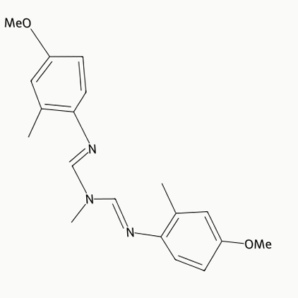 COc1ccc(N=CN(C)C=Nc2ccc(OC)cc2C)c(C)c1